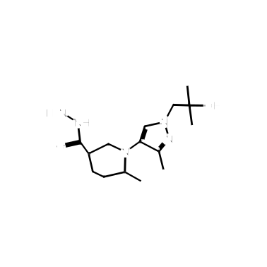 Cc1nn(CC(C)(C)O)cc1N1CC(C(=O)NN)CCC1C